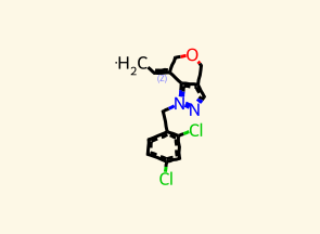 [CH2]/C=C1\COCc2cnn(Cc3ccc(Cl)cc3Cl)c21